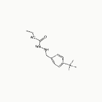 CCNC(=O)NNCc1ccc(C(C)(C)C)cc1